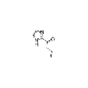 C=CCC(=O)c1ncc[nH]1